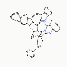 c1ccc(-c2ccc(-c3nc(-n4c5ccccc5c5cc6c7c(c54)-c4ccccc4CC7c4cc5ccccc5cc4-6)c4ccccc4n3)cc2)cc1